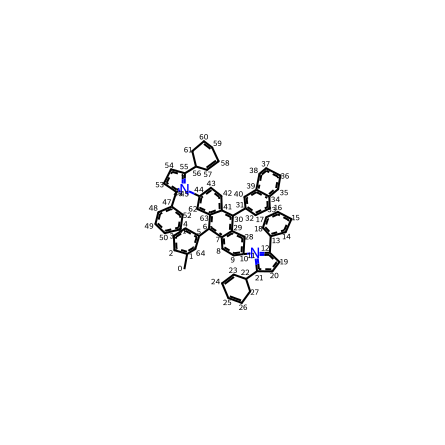 Cc1cccc(-c2c3ccc(-n4c(-c5ccccc5)ccc4C4C=CC=CC4)cc3c(-c3ccc4ccccc4c3)c3ccc(-n4c(-c5ccccc5)ccc4C4C=CC=CC4)cc23)c1